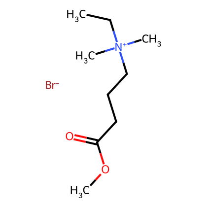 CC[N+](C)(C)CCCC(=O)OC.[Br-]